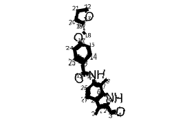 Cc1c(C=O)[nH]c2c(C)c(NC(=O)c3ccc(OC[C@@H]4CCCO4)cc3)ccc12